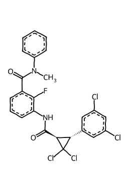 CN(C(=O)c1cccc(NC(=O)[C@H]2[C@H](c3cc(Cl)cc(Cl)c3)C2(Cl)Cl)c1F)c1ccccc1